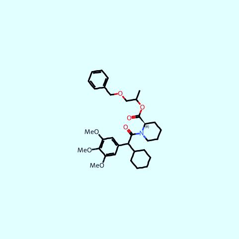 COc1cc(C(C(=O)N2CCCC[C@@H]2C(=O)OC(C)COCc2ccccc2)C2CCCCC2)cc(OC)c1OC